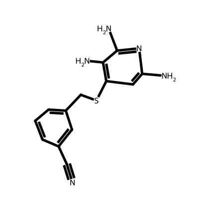 N#Cc1cccc(CSc2cc(N)nc(N)c2N)c1